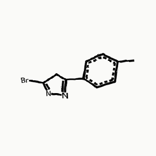 Cc1ccc(C2=NN=C(Br)C2)cc1